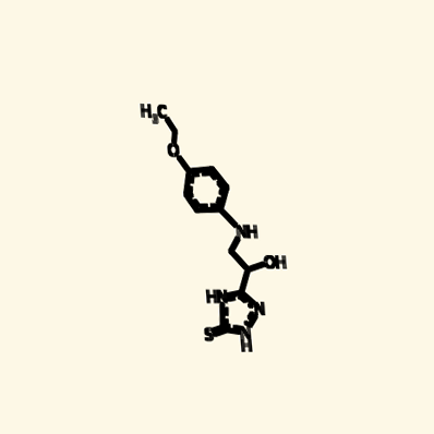 CCOc1ccc(NCC(O)c2n[nH]c(=S)[nH]2)cc1